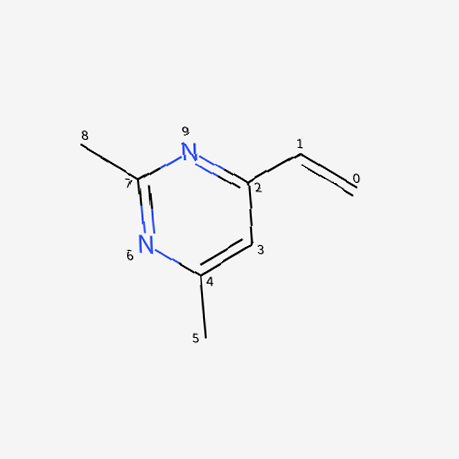 C=Cc1cc(C)nc(C)n1